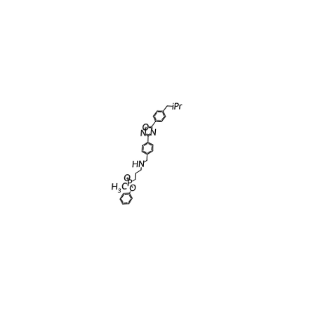 CC(C)Cc1ccc(-c2nc(-c3ccc(CNCCCP(C)(=O)Oc4ccccc4)cc3)no2)cc1